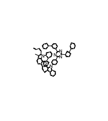 C=C/C=C\c1c(C)c2ccc3c4ccc5c6ccccc6n(-c6ccc(-c7nc(-c8cccc(-c9ccccc9)c8)nc(-c8cccc(-c9ccccc9)c8)n7)cc6)c5c4sc3c2n1-c1ccccc1-c1ccccc1